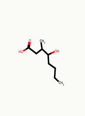 CCCCC(O)C(C)CC(=O)O